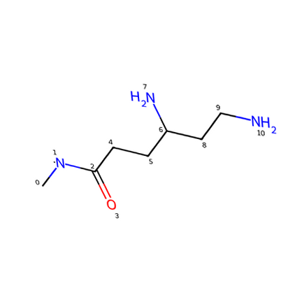 C[N]C(=O)CCC(N)CCN